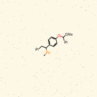 COC(Oc1ccc(C(CC(C)C)PC)cc1)C(C)C